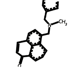 CN(Cc1ccccc1)Cc1ccc2c3c(cccc13)C(=O)C=C2